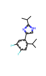 CC(C)c1nc(-c2cc(F)c(F)cc2C(C)C)c[nH]1